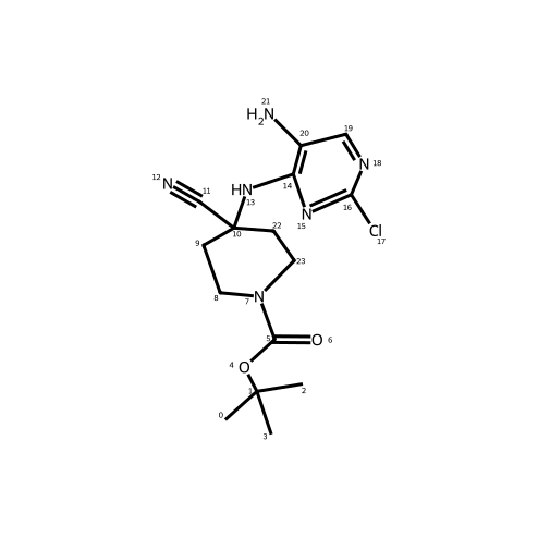 CC(C)(C)OC(=O)N1CCC(C#N)(Nc2nc(Cl)ncc2N)CC1